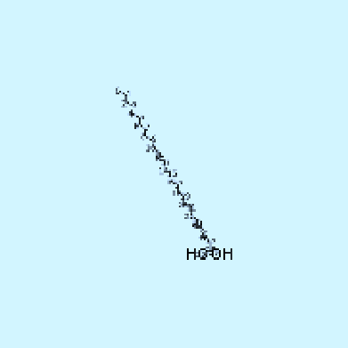 CCCCCCCCCCCCCCCCCCCCCCCCCCCCC(O)O